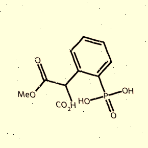 COC(=O)C(C(=O)O)c1ccccc1P(=O)(O)O